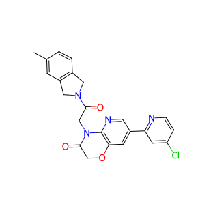 Cc1ccc2c(c1)CN(C(=O)CN1C(=O)COc3cc(-c4cc(Cl)ccn4)cnc31)C2